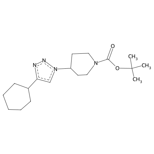 CC(C)(C)OC(=O)N1CCC(n2cc(C3CCCCC3)nn2)CC1